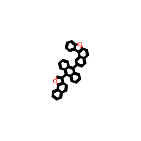 c1ccc2c(c1)ccc1c(-c3c4ccccc4c(-c4ccc5ccc6oc7ccccc7c6c5c4)c4ccccc34)coc12